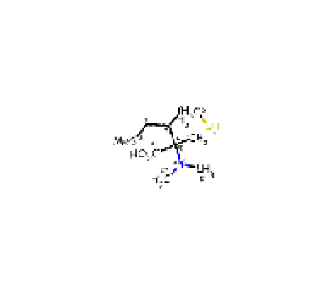 CS.CSCC(C)[C@@](C)(C(=O)O)N(C)C